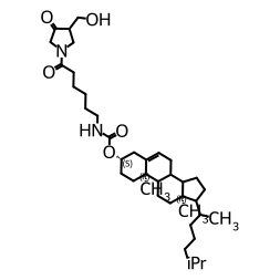 CC(C)CCCC(C)C1CCC2C3CC=C4C[C@@H](OC(=O)NCCCCCC(=O)N5CC(=O)C(CO)C5)CC[C@]4(C)C3CC[C@]12C